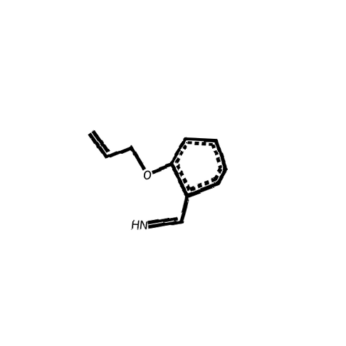 C=CCOc1ccccc1C=N